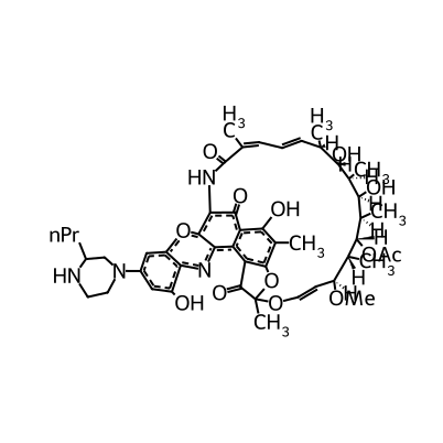 CCCC1CN(c2cc(O)c3nc4c5c6c7c(C)c(O)c5c(=O)c(c-4oc3c2)NC(=O)/C(C)=C\C=C\[C@H](C)[C@H](O)[C@@H](C)[C@@H](O)[C@@H](C)[C@H](OC(C)=O)[C@H](C)[C@@H](OC)/C=C/OC(C)(O7)C6=O)CCN1